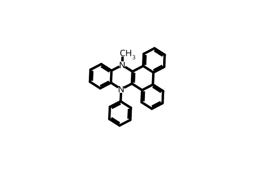 CN1c2ccccc2N(c2ccccc2)c2c1c1ccccc1c1ccccc21